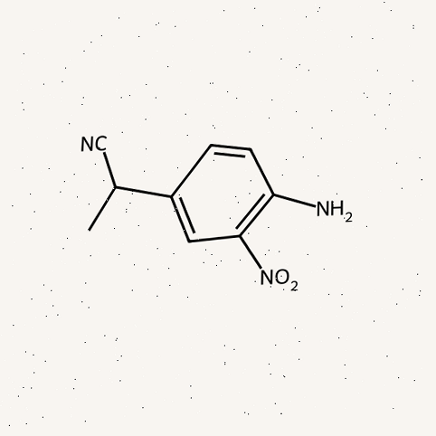 CC(C#N)c1ccc(N)c([N+](=O)[O-])c1